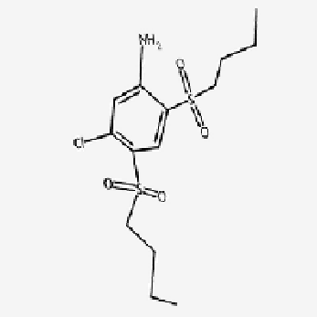 CCCCS(=O)(=O)c1cc(S(=O)(=O)CCCC)c(Cl)cc1N